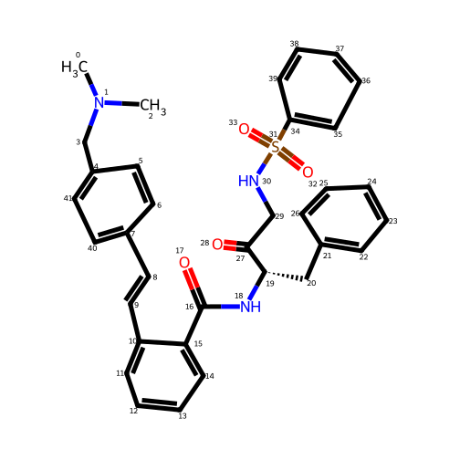 CN(C)Cc1ccc(C=Cc2ccccc2C(=O)N[C@@H](Cc2ccccc2)C(=O)CNS(=O)(=O)c2ccccc2)cc1